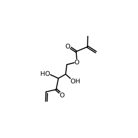 C=CC(=O)C(O)C(O)COC(=O)C(=C)C